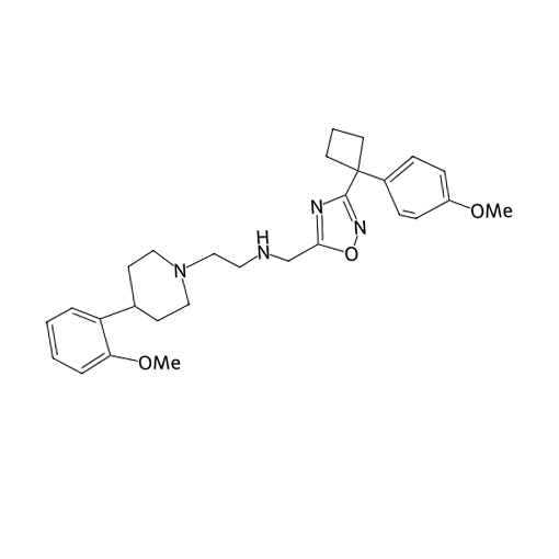 COc1ccc(C2(c3noc(CNCCN4CCC(c5ccccc5OC)CC4)n3)CCC2)cc1